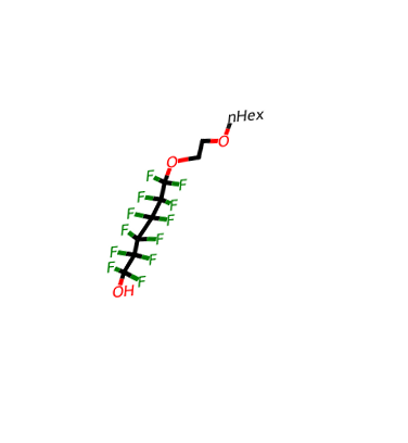 CCCCCCOCCOC(F)(F)C(F)(F)C(F)(F)C(F)(F)C(F)(F)C(O)(F)F